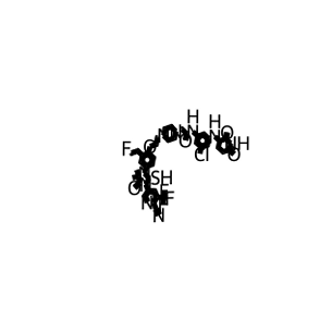 CC1(C)C(=O)N(c2cnc(C#N)c(C(F)(F)F)c2)C(S)N1c1ccc(OCCN2CCN(CC(=O)Nc3cc(Cl)cc(NC4CCC(=O)NC4=O)c3)CC2)c(CCF)c1